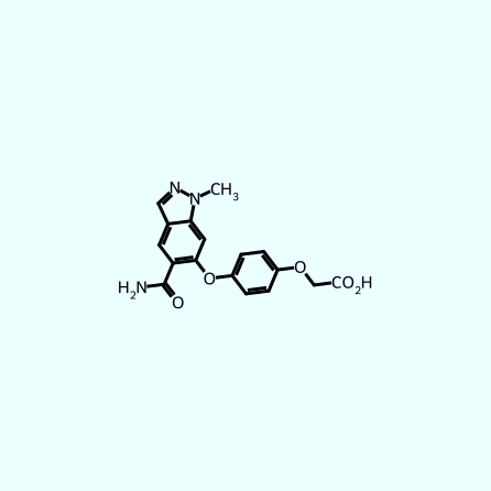 Cn1ncc2cc(C(N)=O)c(Oc3ccc(OCC(=O)O)cc3)cc21